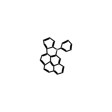 c1ccc(B2c3ccccc3-c3ccc4ccc5cccc6cc2c3c4c56)cc1